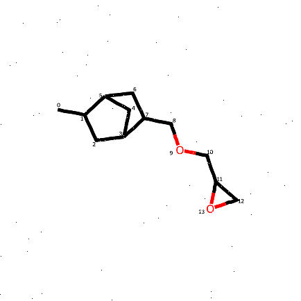 CC1CC2CC1CC2COCC1CO1